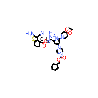 CC1(C(=O)O/N=C(\N)c2cc(N3CCN(C(=O)OCc4ccccc4)CC3)cc(N3CCC4(CC3)OCCO4)n2)CCCc2sc(N)c(C#N)c21